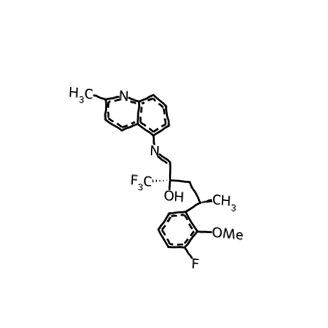 COc1c(F)cccc1[C@H](C)C[C@@](O)(C=Nc1cccc2nc(C)ccc12)C(F)(F)F